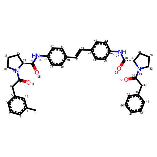 Cc1cccc(CC(=O)N2CCC[C@H]2C(=O)Nc2ccc(/C=C/c3ccc(NC(=O)[C@@H]4CCCN4C(=O)Cc4ccccc4)cc3)cc2)c1